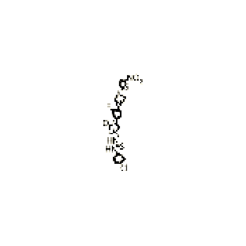 O=C1O[C@@H](CNC(=S)Nc2ccc(Cl)cc2)CN1c1ccc(N2CCN(c3ccc([N+](=O)[O-])s3)CC2)c(F)c1